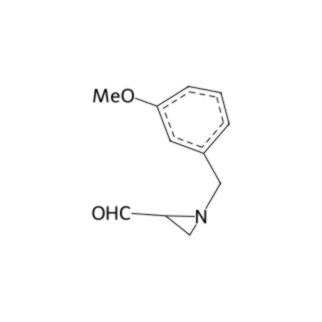 COc1cccc(CN2CC2C=O)c1